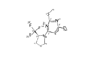 CSc1nc(Cl)cc(N2CCC[C@H]2C(F)(F)F)n1